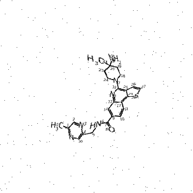 Cc1cnc(CNC(=O)c2ccc3c(c2)nc(N2CCC(C)(N)CC2)c2ccsc23)cn1